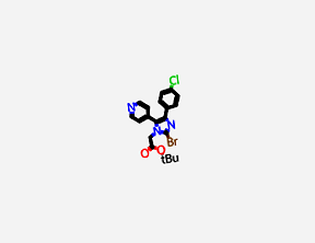 CC(C)(C)OC(=O)Cn1c(Br)nc(-c2ccc(Cl)cc2)c1-c1ccncc1